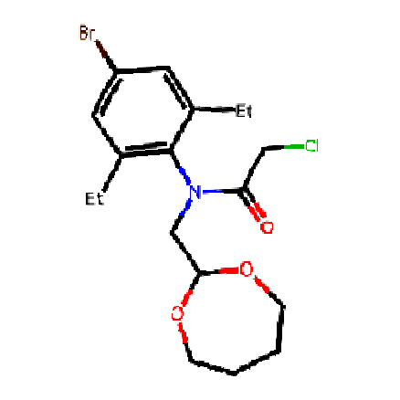 CCc1cc(Br)cc(CC)c1N(CC1OCCCCO1)C(=O)CCl